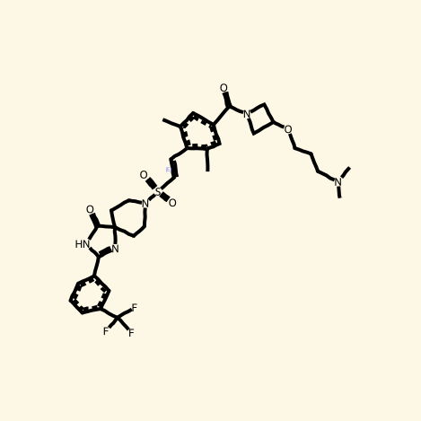 Cc1cc(C(=O)N2CC(OCCCN(C)C)C2)cc(C)c1/C=C/S(=O)(=O)N1CCC2(CC1)N=C(c1cccc(C(F)(F)F)c1)NC2=O